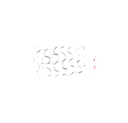 C=CC1=Cc2cc3cc4cc5c6c(c7c8c9c(ccc%10cc%11cc%12c/c%13c%14c%15c%16c%17c(c2C2C1CCC(C(CCCC/C=%13)C%15)C%162)c3c1c4c6c2c7c(c%109)c%11c3c%12c%14c%17c1c32)C1(C)C(C=8)C2C(=O)OC(=O)C21)C(C)C(C)C=5